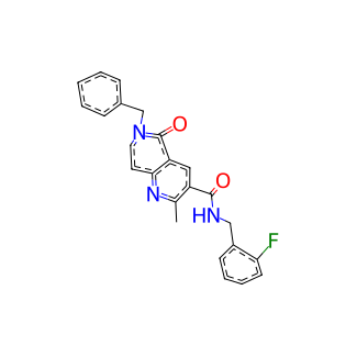 Cc1nc2ccn(Cc3ccccc3)c(=O)c2cc1C(=O)NCc1ccccc1F